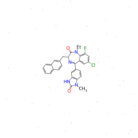 CCN1C(=O)C(Cc2ccc3ccccc3c2)N=C(c2ccc3c(c2)[nH]c(=O)n3C)c2cc(Cl)cc(F)c21